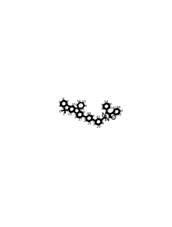 CC1(C)c2ccccc2-c2cc3c(cc21)-c1ccc(-c2ccc(-c4cccc(-c5nc(-c6ccccc6)c6c(n5)oc5ccccc56)c4)cc2)cc1C31CCCCC1